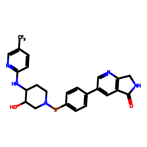 O=C1NCc2ncc(-c3ccc(SN4CCC(Nc5ccc(C(F)(F)F)cn5)C(O)C4)cc3)cc21